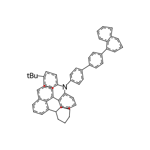 CC(C)(C)c1ccc(N(c2ccc(-c3ccc(-c4cccc5ccccc45)cc3)cc2)c2ccccc2-c2cccc3cccc(C4CCCCC4)c23)cc1